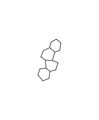 C1CCC2C(C1)CCC1C3CCCCC3CCC21